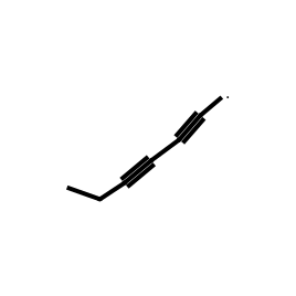 [CH2]C#CC#CCC